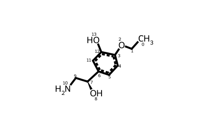 CCOc1ccc([C@@H](O)CN)cc1O